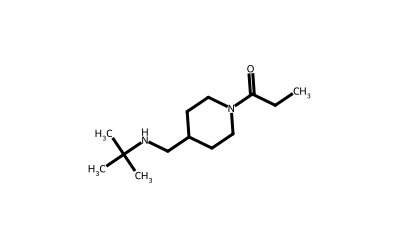 CCC(=O)N1CCC(CNC(C)(C)C)CC1